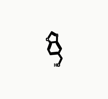 OCc1ccc2ocbc2c1